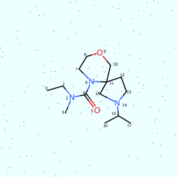 CCN(C)C(=O)N1CCOCC12CCN(C(C)C)C2